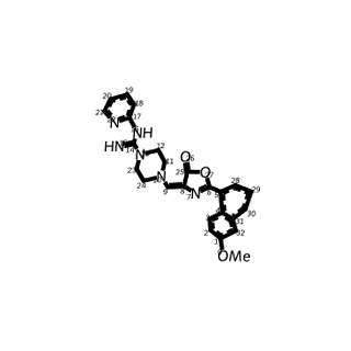 COc1ccc2c(C3=N/C(=C/N4CCN(C(=N)Nc5ccccn5)CC4)C(=O)O3)cccc2c1